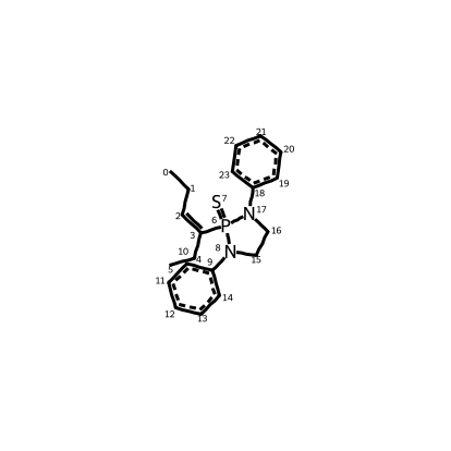 CC/C=C(/CC)P1(=S)N(c2ccccc2)CCN1c1ccccc1